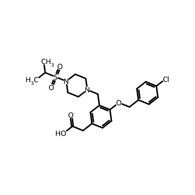 CC(C)S(=O)(=O)N1CCN(Cc2cc(CC(=O)O)ccc2OCc2ccc(Cl)cc2)CC1